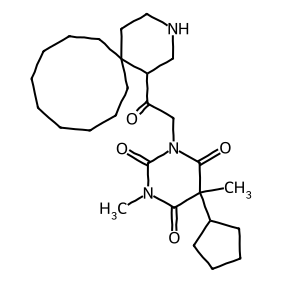 CN1C(=O)N(CC(=O)C2CNCCC23CCCCCCCCC3)C(=O)C(C)(C2CCCC2)C1=O